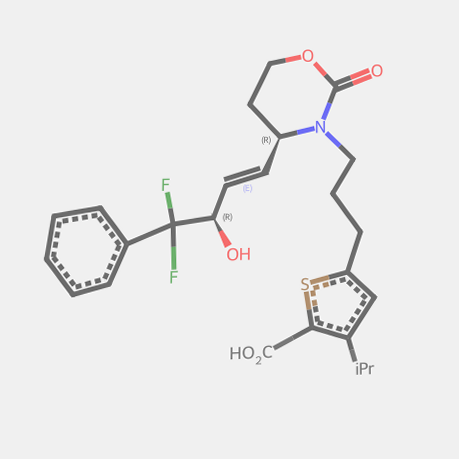 CC(C)c1cc(CCCN2C(=O)OCC[C@@H]2/C=C/[C@@H](O)C(F)(F)c2ccccc2)sc1C(=O)O